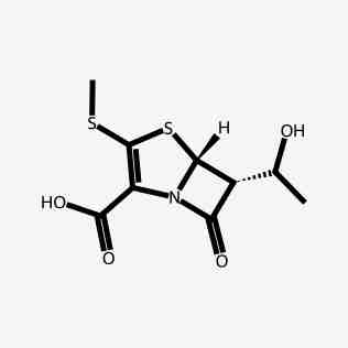 CSC1=C(C(=O)O)N2C(=O)[C@@H](C(C)O)[C@H]2S1